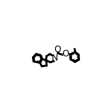 Cc1ccccc1OCC(=O)N1CCC2(CCc3ccccc32)CC1